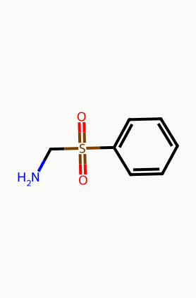 NCS(=O)(=O)c1ccccc1